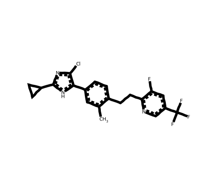 Cc1cc(-c2[nH]c(C3CC3)nc2Cl)ccc1CCc1ncc(C(F)(F)F)cc1F